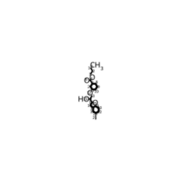 CCCCOC(=O)c1cccc(OCC(O)c2cc3cc(I)ccc3o2)c1